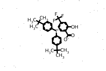 CC(C)(C)c1ccc([I+]c2ccc(C(C)(C)C)cc2)cc1.O=C([O-])c1ccc(C(F)(F)F)cc1O